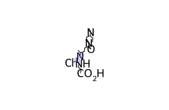 C/C(CCC(=O)N1CCC(N(C)C)CC1)=N\C=C(\Cl)NCCC(=O)O